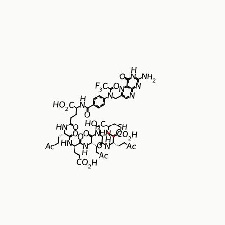 CC(=O)CC[C@H](NC(=O)CC[C@H](NC(=O)c1ccc(N(Cc2cnc3nc(N)[nH]c(=O)c3n2)C(=O)C(F)(F)F)cc1)C(=O)O)C(=O)N[C@H](CCC(=O)O)C(=O)N[C@@H](CCC(C)=O)C(=O)N[C@H](CCC(=O)O)C(=O)N[C@@H](CCC(C)=O)C(=O)N[C@H](CS)C(=O)O